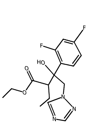 CCOC(=O)C(CC)C(O)(Cn1cncn1)c1ccc(F)cc1F